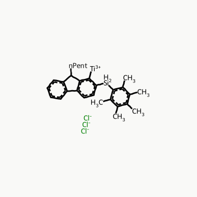 CCCCCC1c2ccccc2-c2ccc([SiH2]c3c(C)c(C)c(C)c(C)c3C)[c]([Ti+3])c21.[Cl-].[Cl-].[Cl-]